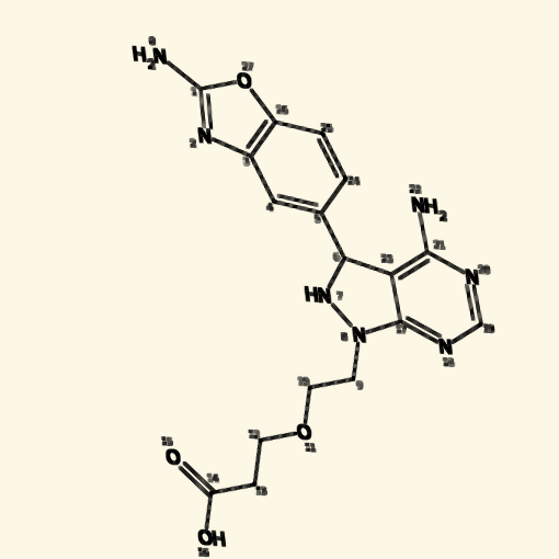 Nc1nc2cc(C3NN(CCOCCC(=O)O)c4ncnc(N)c43)ccc2o1